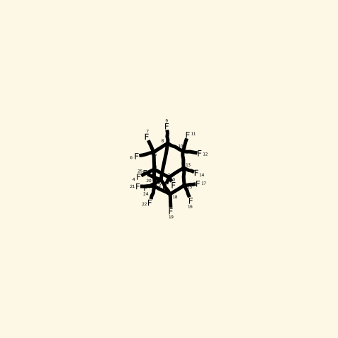 FC1(F)C2(F)C(F)(F)C3(F)C(F)(F)C1(F)C(F)(F)C(F)(C2(F)F)C3(F)F